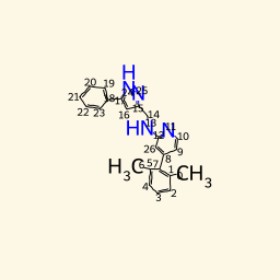 Cc1cccc(C)c1-c1ccnc(NCc2cc(-c3ccccc3)[nH]n2)c1